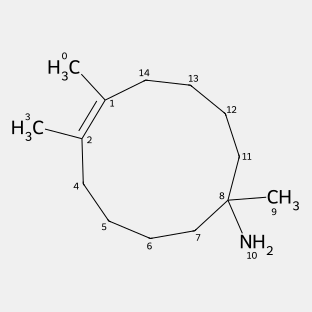 C/C1=C(\C)CCCCC(C)(N)CCCC1